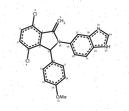 C=C1c2c(Cl)ccc(Cl)c2C(c2ccc(OC)cc2)N1c1ccc2[nH]cnc2c1